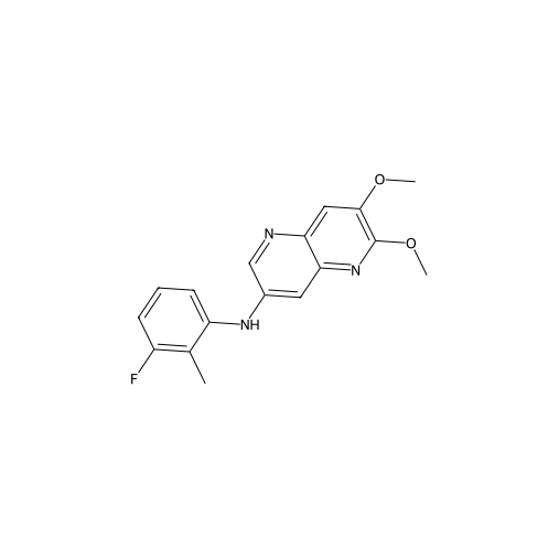 COc1cc2ncc(Nc3cccc(F)c3C)cc2nc1OC